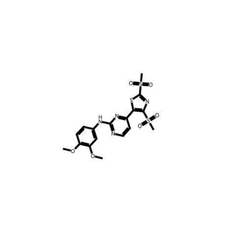 COc1ccc(Nc2nccc(-c3sc(S(C)(=O)=O)nc3S(C)(=O)=O)n2)cc1OC